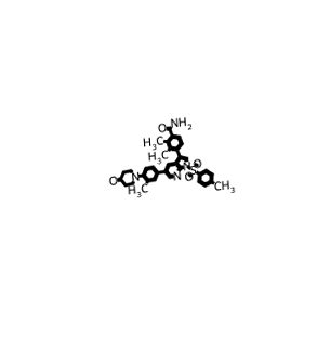 Cc1ccc(S(=O)(=O)n2cc(-c3ccc(C(N)=O)c(C)c3C)c3cc(-c4ccc(N5CCC(=O)CC5)c(C)c4)cnc32)cc1